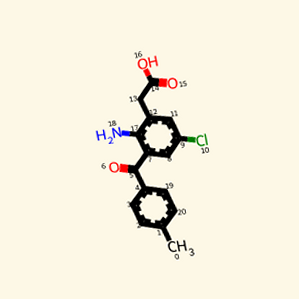 Cc1ccc(C(=O)c2cc(Cl)cc(CC(=O)O)c2N)cc1